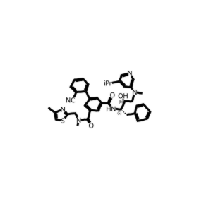 Cc1csc(CN(C)C(=O)c2cc(C(=O)N[C@@H](Cc3ccccc3)[C@H](O)CN(C)c3cncc(C(C)C)c3)cc(-c3ccccc3C#N)c2)n1